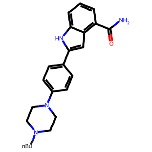 CCCCN1CCN(c2ccc(-c3cc4c(C(N)=O)cccc4[nH]3)cc2)CC1